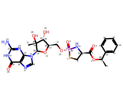 C[C@@H](OC(=O)[C@H]1CS[P@](=O)(OC[C@H]2O[C@@H](n3cnc4c(=O)[nH]c(N)nc43)[C@](C)(O)[C@@H]2O)N1)c1ccccc1